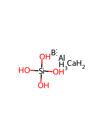 O[Si](O)(O)O.[AlH3].[B].[CaH2]